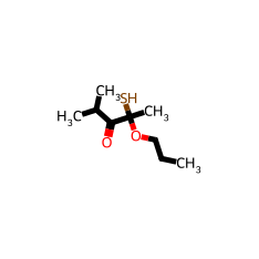 CCCOC(C)(S)C(=O)C(C)C